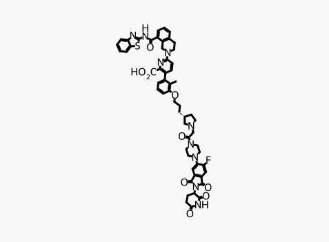 Cc1c(OCCC[C@@H]2CCN(CC(=O)N3CCN(c4cc5c(cc4F)C(=O)N(C4CCC(=O)NC4=O)C5=O)CC3)C2)cccc1-c1ccc(N2CCc3cccc(C(=O)Nc4nc5ccccc5s4)c3C2)nc1C(=O)O